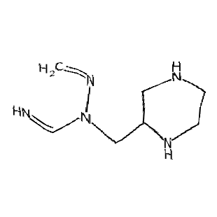 C=NN(C=N)CC1CNCCN1